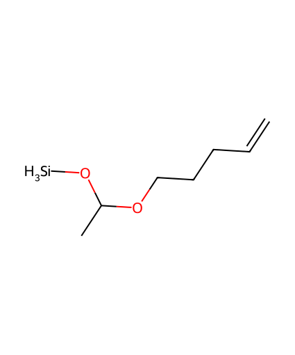 C=CCCCOC(C)O[SiH3]